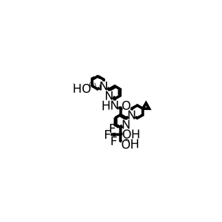 O=C(Nc1cccc(N2CCC[C@@H](O)C2)n1)c1ccc(C(O)(CO)C(F)(F)F)nc1N1CCC2(CC1)CC2